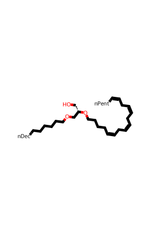 CCCCC/C=C\C/C=C\C/C=C\C/C=C\CCCCO[C@@H](CO)COCCCCCCCCCCCCCCCC